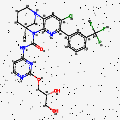 O=C(Nc1ccnc(OC[C@H](O)CO)n1)N1c2nc(-c3cccc(C(F)(F)F)c3)c(Cl)cc2N2CCC[C@H]1C2